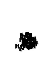 CCn1cc(-c2c(-c3c(C(F)F)nn4c3OCCC4)[nH]c3ncccc23)c(OC(F)F)n1